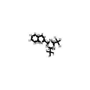 CC(C)(C)c1nc(-c2ccc3ccccc3n2)nc(C(C)(C)C)n1